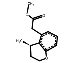 COC(=O)Cc1cccc2c1[C@H](C)CCO2